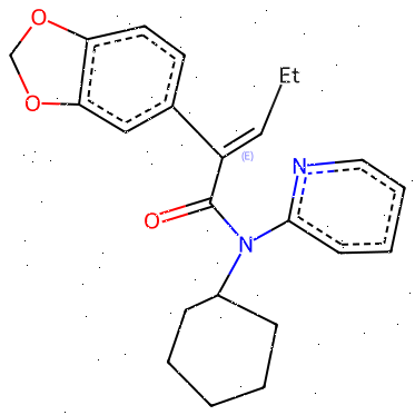 CC/C=C(/C(=O)N(c1ccccn1)C1CCCCC1)c1ccc2c(c1)OCO2